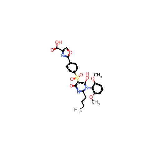 CCCCc1nc(=O)c(S(=O)(=O)c2ccc(-c3nc(C(=O)O)co3)cc2)c(O)n1-c1c(OC)cccc1OC